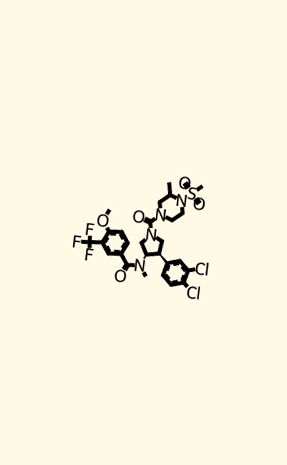 COc1ccc(C(=O)N(C)[C@@H]2CN(C(=O)N3CCN(S(C)(=O)=O)C(C)C3)C[C@H]2c2ccc(Cl)c(Cl)c2)cc1C(F)(F)F